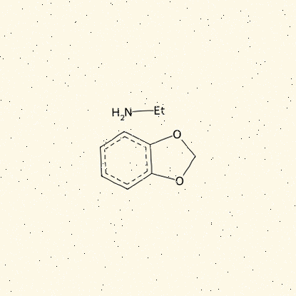 CCN.c1ccc2c(c1)OCO2